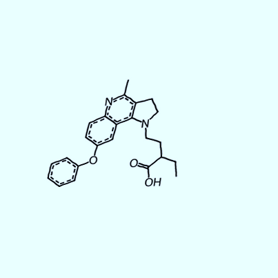 CCC(CCN1CCc2c(C)nc3ccc(Oc4ccccc4)cc3c21)C(=O)O